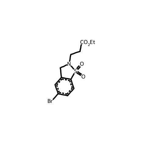 CCOC(=O)CCN1Cc2cc(Br)ccc2S1(=O)=O